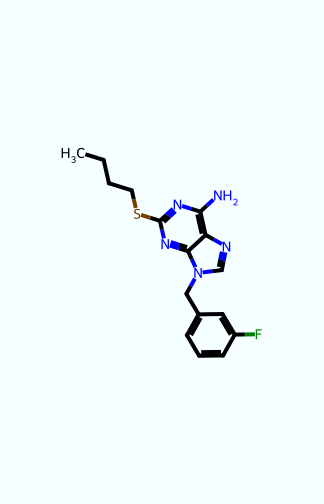 CCCCSc1nc(N)c2ncn(Cc3cccc(F)c3)c2n1